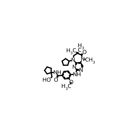 COc1cc(C(=O)NC2(CO)CCCC2)ccc1Nc1ncc2c(n1)N(C1CCCC1)CC(C)(C)C(=O)N2C